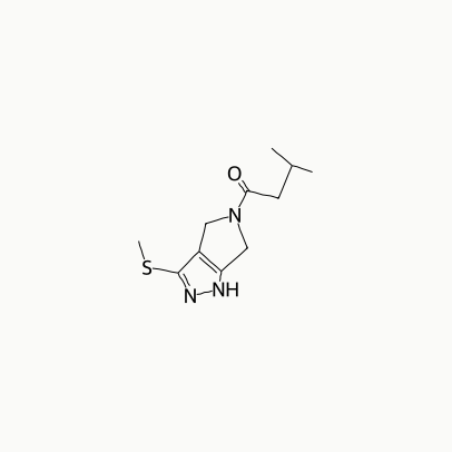 CSc1n[nH]c2c1CN(C(=O)CC(C)C)C2